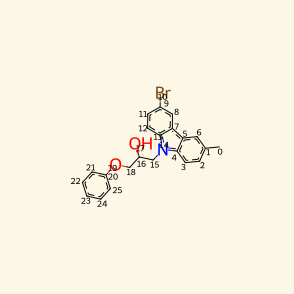 Cc1ccc2c(c1)c1cc(Br)ccc1n2C[C@H](O)COc1ccccc1